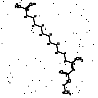 CCOC(=O)C=C(C)CCCCCCCCCCCC(=O)O